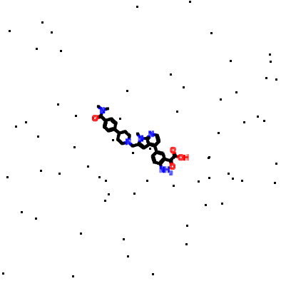 CN(C)C(=O)c1ccc(C2CCN(Cc3cc4c(-c5ccc(N)c(C(=O)C(=O)O)c5)ccnc4n3C)CC2)cc1